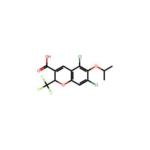 CC(C)Oc1c(Cl)cc2c(c1Cl)C=C(C(=O)O)C(C(F)(F)F)O2